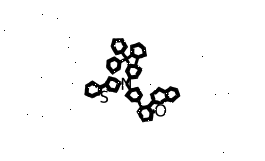 c1ccc(C2(c3ccccc3)c3ccccc3-c3ccc(N(c4ccc(-c5cccc6oc7c8ccccc8ccc7c56)cc4)c4ccc5c(c4)sc4ccccc45)cc32)cc1